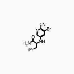 CC(C)CC(Nc1cnc(C#N)c(Br)c1)C(N)=O